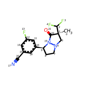 C[C@]1(C(F)F)CN2CC[C@@H](c3cc(F)cc(C#N)c3)N2C1=O